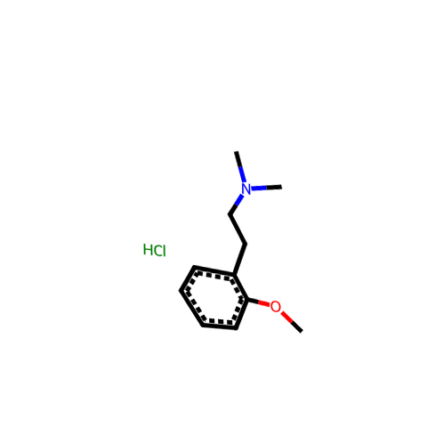 COc1ccccc1CCN(C)C.Cl